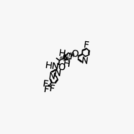 CC(C(=O)Nc1cn2cc(C(F)(F)F)ccc2n1)[C@H]1[C@@H]2C[C@@H](Oc3ccnc4ccc(F)cc34)C[C@@H]21